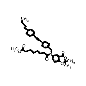 CCCCc1ccc(C#Cc2ccc(CN(C(=O)CCCCCCC(=O)OC)c3ccc4c(c3)C(=O)OC(C)(C)O4)cc2)cc1